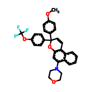 COc1ccc(C2(c3ccc(OC(F)(F)F)cc3)C=Cc3c(cc(N4CCOCC4)c4ccccc34)O2)cc1